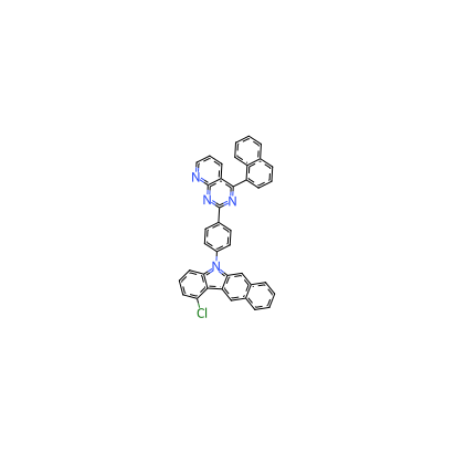 Clc1cccc2c1c1cc3ccccc3cc1n2-c1ccc(-c2nc(-c3cccc4ccccc34)c3cccnc3n2)cc1